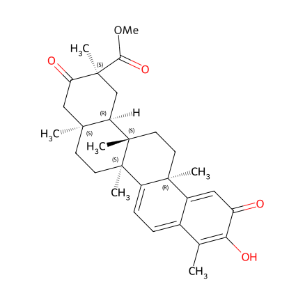 COC(=O)[C@@]1(C)C[C@@H]2[C@@](C)(CC[C@]3(C)C4=CC=C5C(=CC(=O)C(O)=C5C)[C@]4(C)CC[C@@]23C)CC1=O